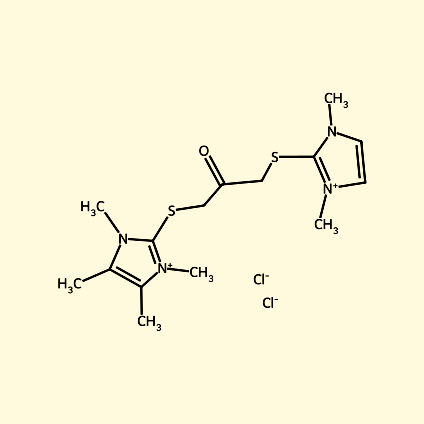 Cc1c(C)[n+](C)c(SCC(=O)CSc2n(C)cc[n+]2C)n1C.[Cl-].[Cl-]